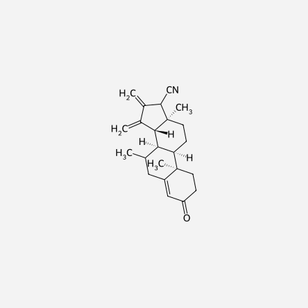 C=C1C(=C)[C@H]2[C@@H]3C(C)CC4=CC(=O)CC[C@]4(C)[C@@H]3CC[C@]2(C)C1C#N